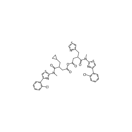 CN(C(=O)C(CC(=O)OC(=O)CC(CC1CC1)C(=O)N(C)c1nc(-c2ccccc2Cl)cs1)Cc1cscn1)c1nc(-c2ccccc2Cl)cs1